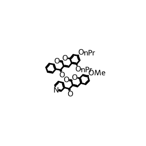 CCCOc1cc(OCCC)c2cc(C(=O)c3ccccc3)c(=O)oc2c1.COc1ccc2cc(C(=O)c3cccnc3)c(=O)oc2c1